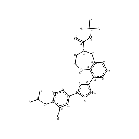 CC(C)Oc1ncc(-c2nc(-c3cccc4c3OCCN(C(=O)OC(C)(C)C)C4)no2)cc1Cl